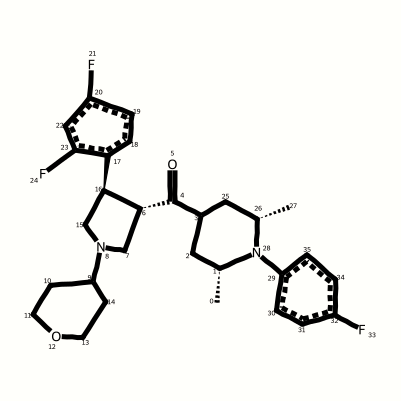 C[C@@H]1CC(C(=O)[C@@H]2CN(C3CCOCC3)C[C@H]2c2ccc(F)cc2F)C[C@H](C)N1c1ccc(F)cc1